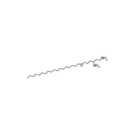 CCCCCCCCCCCCCCCCCCOCCCC(N)CCN